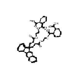 O=C(CCC1(CCC(=O)OCCOC(=O)C2CCCCC2C(=O)O)c2ccccc2-c2cc3ccccc3cc21)OCCOC(=O)C1CCCCC1C(=O)O